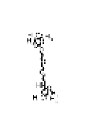 CC(C)(C)OC(=O)NCCCOCCOCCCNC(=O)OC(C)(C)C